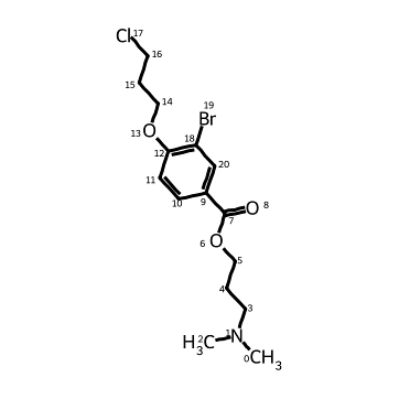 CN(C)CCCOC(=O)c1ccc(OCCCCl)c(Br)c1